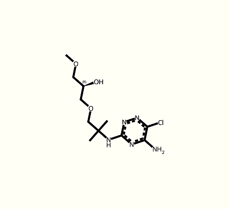 COC[C@@H](O)COCC(C)(C)Nc1nnc(Cl)c(N)n1